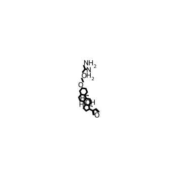 C[C@]12CCC(OCCOCC(N)CN)CC1CC[C@@H]1[C@H]2CC[C@]2(C)C(c3ccoc3)CC[C@@]12O